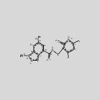 Cc1cc(C)c(CNC(=O)c2cc(C(C)C)nc3c2cnn3C(C)C)c(=O)[nH]1